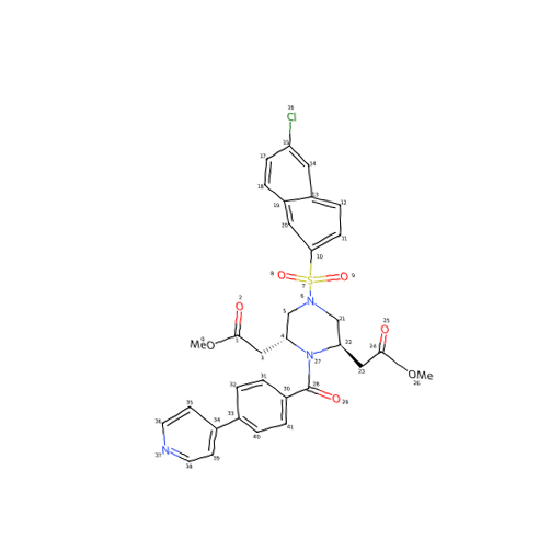 COC(=O)C[C@@H]1CN(S(=O)(=O)c2ccc3cc(Cl)ccc3c2)C[C@@H](CC(=O)OC)N1C(=O)c1ccc(-c2ccncc2)cc1